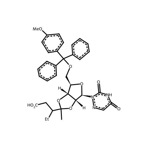 CCC(CC(=O)O)C1(C)O[C@@H]2[C@H](O1)[C@@H](COC(c1ccccc1)(c1ccccc1)c1ccc(OC)cc1)O[C@H]2n1ncc(=O)[nH]c1=O